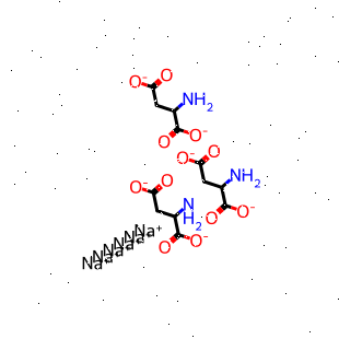 NC(CC(=O)[O-])C(=O)[O-].NC(CC(=O)[O-])C(=O)[O-].NC(CC(=O)[O-])C(=O)[O-].[Na+].[Na+].[Na+].[Na+].[Na+].[Na+]